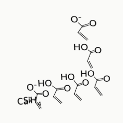 C=CC(=O)O.C=CC(=O)O.C=CC(=O)O.C=CC(=O)O.C=CC(=O)[O-].C=CC(=O)[O-].[Ca+2].[SiH4]